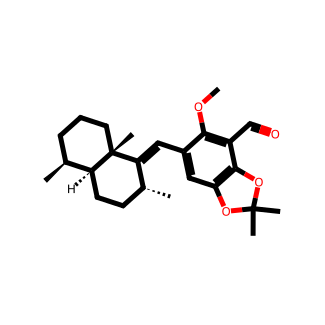 COc1c(/C=C2\[C@H](C)CC[C@H]3[C@@H](C)CCC[C@]23C)cc2c(c1C=O)OC(C)(C)O2